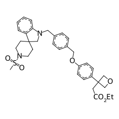 CCOC(=O)CC1(c2ccc(OCc3ccc(CN4CC5(CCN(S(C)(=O)=O)CC5)c5ccccc54)cc3)cc2)COC1